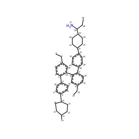 CCc1ccc(-c2ccc(C3CCC(C)CC3)cc2)c(-c2cc(CC)ccc2-c2ccc(C3CCC(C(N)CC)CC3)cc2)c1